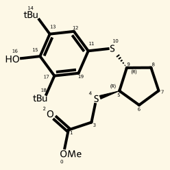 COC(=O)CS[C@@H]1CCC[C@H]1Sc1cc(C(C)(C)C)c(O)c(C(C)(C)C)c1